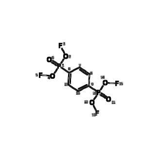 O=P(OF)(OF)c1ccc(P(=O)(OF)OF)cc1